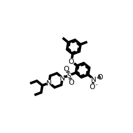 CCC(CC)N1CCN(S(=O)(=O)c2cc([N+](=O)[O-])ccc2Oc2cc(C)cc(C)c2)CC1